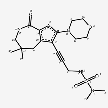 CN(C)S(=O)(=O)NCC#Cc1c(N2CCOCC2)sc2c1CC(C)(C)CNC2=O